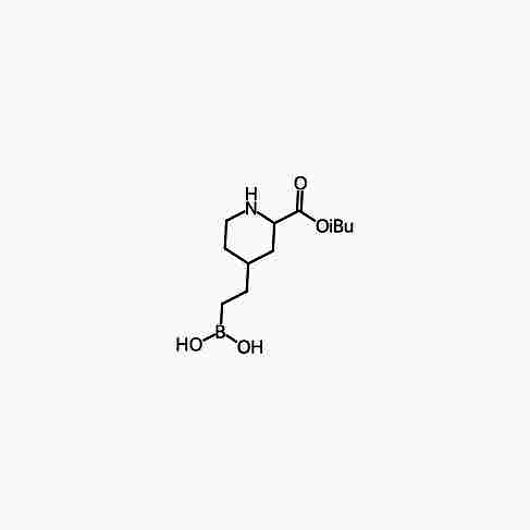 CC(C)COC(=O)C1CC(CCB(O)O)CCN1